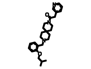 CC(C)COc1ccccc1CN1CCC2(CC1)CCN(C(=O)Cc1cccnc1)CC2